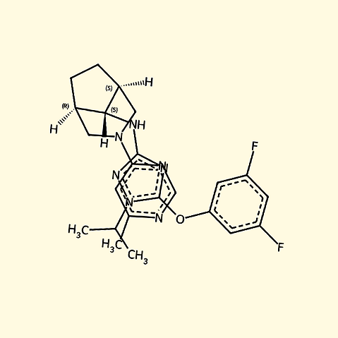 Cc1cc(N2C[C@H]3CC[C@@H](C2)[C@@H]3Nc2nc(Oc3cc(F)cc(F)c3)n(C(C)C)n2)ncn1